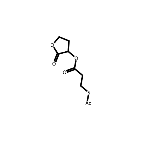 CC(=O)SCCC(=O)OC1CCOC1=O